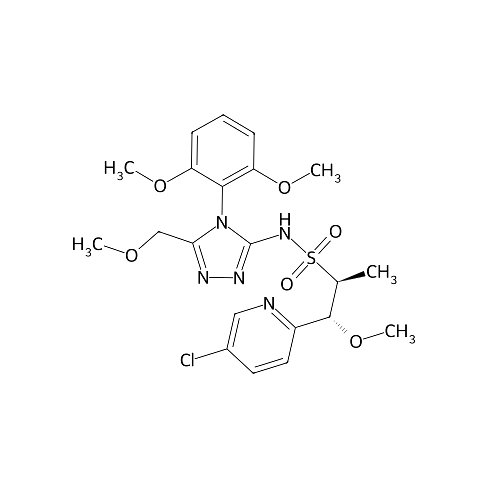 COCc1nnc(NS(=O)(=O)[C@@H](C)[C@H](OC)c2ccc(Cl)cn2)n1-c1c(OC)cccc1OC